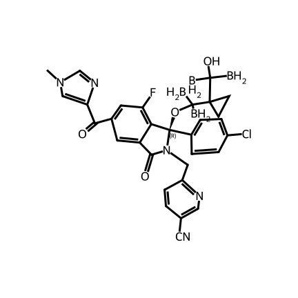 BC(B)(O)C1(C(B)(B)O[C@]2(c3ccc(Cl)cc3)c3c(F)cc(C(=O)c4cn(C)cn4)cc3C(=O)N2Cc2ccc(C#N)cn2)CC1